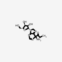 CCC(=O)C1(N)N=CN=C2C1=NCN2[C@@H]1O[C@H](CO)[C@@H](O)[C@H]1O